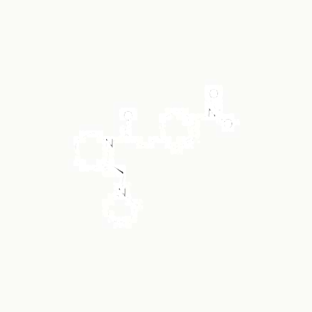 O=C(Cc1ccc([N+](=O)[O-])cc1)N1CCCC[C@@H]1CN1CCCC1